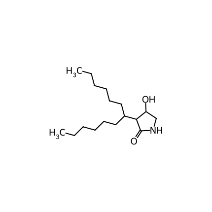 CCCCCCC(CCCCCC)C1C(=O)NCC1O